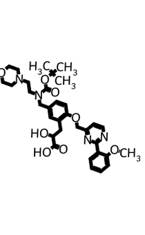 COc1ccccc1-c1nccc(COc2ccc(CN(CCN3CCOCC3)C(=O)OC(C)(C)C)cc2CC(O)C(=O)O)n1